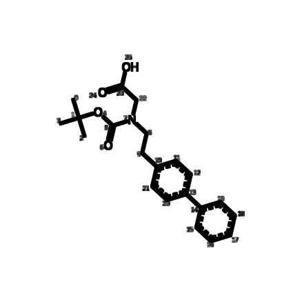 CC(C)(C)OC(=O)N(CCc1ccc(-c2ccccc2)cc1)CC(=O)O